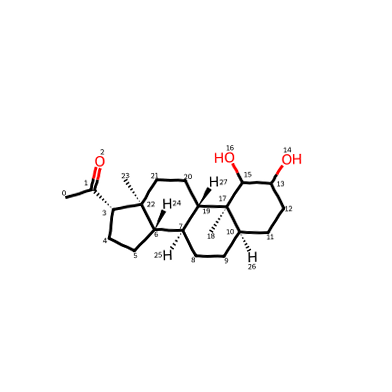 CC(=O)[C@H]1CC[C@H]2[C@@H]3CC[C@@H]4CCC(O)C(O)[C@]4(C)[C@H]3CC[C@]12C